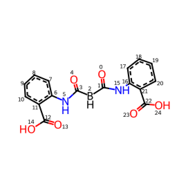 O=C(BC(=O)Nc1ccccc1C(=O)O)Nc1ccccc1C(=O)O